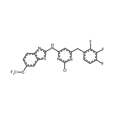 Fc1ccc(Cc2cc(Nc3nc4ccc(OC(F)(F)F)cc4s3)nc(Cl)n2)c(F)c1F